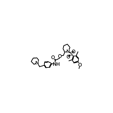 COc1cc(C)c(S(=O)(=O)N2CCCCC2COCC(=O)Nc2ccc(CN3CCCCC3)cc2)c(C)c1